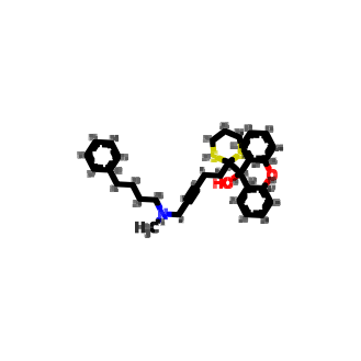 CN(CC#CCCC1(C2(O)c3ccccc3Oc3ccccc32)SCCCS1)CCCCc1ccccc1